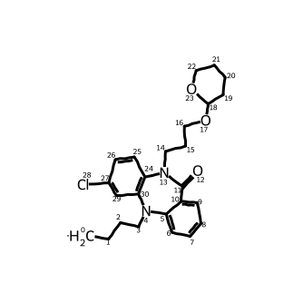 [CH2]CCCN1c2ccccc2C(=O)N(CCCOC2CCCCO2)c2ccc(Cl)cc21